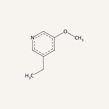 CCc1cncc(OC)c1